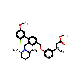 COC(=O)C[C@@H](C)c1cccc(OCc2ccc(-c3cc(OC)ccc3F)c(CN3[C@@H](C)CCC[C@@H]3C)c2)c1